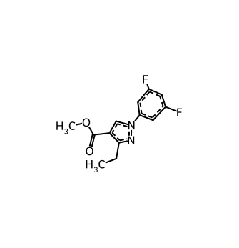 CCc1nn(-c2cc(F)cc(F)c2)cc1C(=O)OC